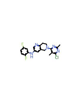 Cc1nc(Cl)c(C)c(N2CCc3ncc(Nc4cc(F)ccc4F)cc3C2)n1